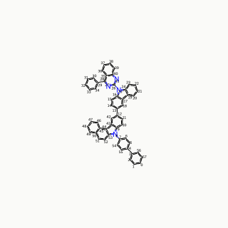 c1ccc(-c2ccc(-n3c4ccc(-c5ccc6c(c5)c5ccccc5n6-c5nc(-c6ccccc6)c6ccccc6n5)cc4c4c5ccccc5ccc43)cc2)cc1